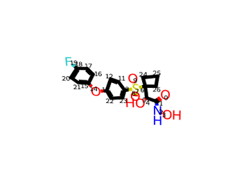 O=C(NO)C(O)C1(S(=O)(=O)c2ccc(Oc3ccc(F)cc3)cc2)CCC1